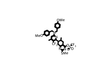 COc1ccc(CN(Cc2ccc(OC)cc2)c2cc(C)c(C(F)(F)F)c(C3Cc4nc(SC)nc(OS(=O)(=O)C(F)(F)F)c4CC3C)n2)cc1